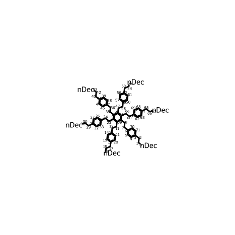 CCCCCCCCCCCCc1ccc(CCc2c(CCc3ccc(CCCCCCCCCCCC)cc3)c(CCc3ccc(CCCCCCCCCCCC)cc3)c(CCc3ccc(CCCCCCCCCCCC)cc3)c(CCc3ccc(CCCCCCCCCCCC)cc3)c2CCc2ccc(CCCCCCCCCCCC)cc2)cc1